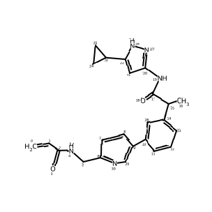 C=CC(=O)NCc1ccc(-c2cccc(C(C)C(=O)Nc3cc(C4CC4)[nH]n3)c2)cn1